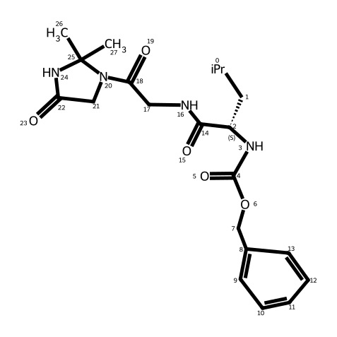 CC(C)C[C@H](NC(=O)OCc1ccccc1)C(=O)NCC(=O)N1CC(=O)NC1(C)C